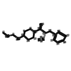 COCOC1CCN(C(=O)[C@@H](N)Cc2ccccc2)CC1